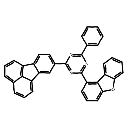 c1ccc(-c2nc(-c3ccc4c(c3)-c3cccc5cccc-4c35)nc(-c3cccc4oc5ccccc5c34)n2)cc1